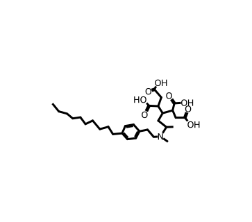 CCCCCCCCCCc1ccc(CCN(C)C(C)CC(C(CC(=O)O)C(=O)O)C(CC(=O)O)C(=O)O)cc1